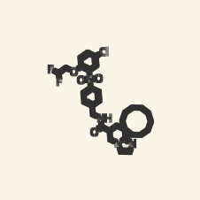 O=C(NCc1ccc(S(=O)(=O)c2cc(Cl)ccc2OCC(F)F)cc1)C1Cn2ccnc2C2(CCCCCCCCC2)C1